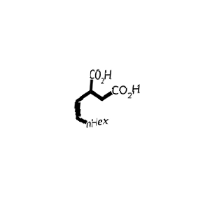 CCCCCC/C=C\C(CC(=O)O)C(=O)O